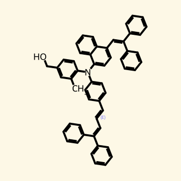 Cc1cc(CO)ccc1N(c1ccc(/C=C/C=C(c2ccccc2)c2ccccc2)cc1)c1ccc(C=C(c2ccccc2)c2ccccc2)c2ccccc12